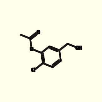 CC(=O)Oc1cc(CO)ccc1Cl